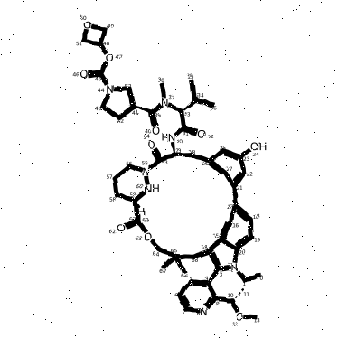 CCn1c(-c2cccnc2[C@H](C)OC)c2c3cc(ccc31)-c1cc(O)cc(c1)C[C@H](NC(=O)[C@H](C(C)C)N(C)C(=O)[C@H]1CCN(C(=O)OC3COC3)C1)C(=O)N1CCC[C@H](N1)C(=O)OCC(C)(C)C2